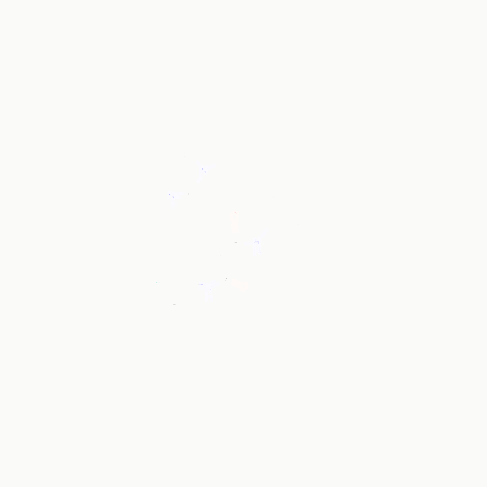 Cc1ccc(NC(=O)c2c(-c3cnc(N(C)C)s3)cc(C3(F)CCCCC3)[nH]c2=O)cc1